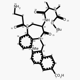 COc1ccc2cc(C(=O)O)ccc2c1CN1C(=O)C(NC(=O)C(C)N(C)C(=O)OC(C)(C)C)CN(C(=O)CCN)c2ccccc21